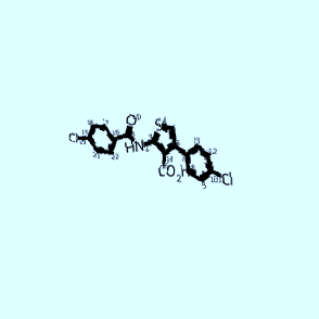 O=C(Nc1scc(-c2ccc(Cl)cc2)c1C(=O)O)c1ccc(Cl)cc1